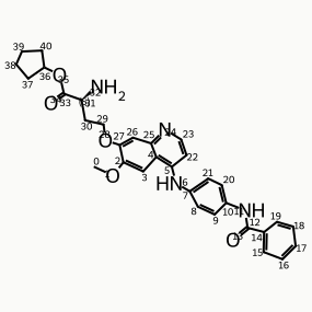 COc1cc2c(Nc3ccc(NC(=O)c4ccccc4)cc3)ccnc2cc1OCC[C@H](N)C(=O)OC1CCCC1